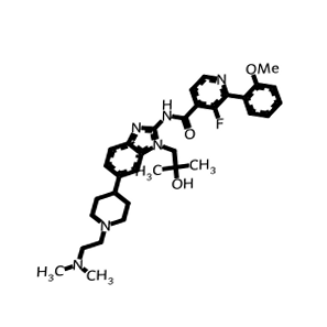 COc1ccccc1-c1nccc(C(=O)Nc2nc3ccc(C4CCN(CCN(C)C)CC4)cc3n2CC(C)(C)O)c1F